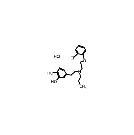 CCCN(CCOc1ccccc1Cl)CCc1ccc(O)c(O)c1.Cl